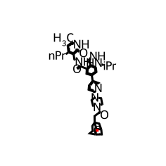 CCCc1cc(C)[nH]c(=O)c1CNC(=O)c1cc(-c2ccc(N3CCN(C(=O)CC45CC6CC7CC(C6)(C4)C75)CC3)nc2)cc(NC(C)C)c1C=N